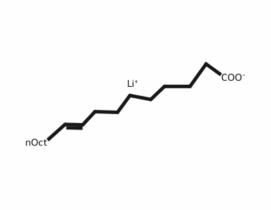 CCCCCCCC/C=C/CCCCCCCC(=O)[O-].[Li+]